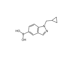 OB(O)c1ccc2c(cnn2CC2CC2)c1